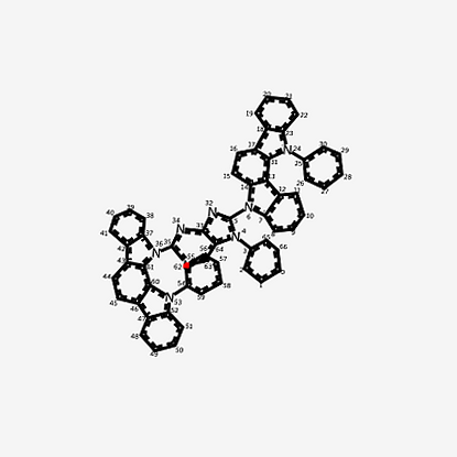 c1ccc(-n2c(-n3c4ccccc4c4c3ccc3c5ccccc5n(-c5ccccc5)c34)nc3nc(-n4c5ccccc5c5ccc6c7ccccc7n(-c7ccccc7)c6c54)ncc32)cc1